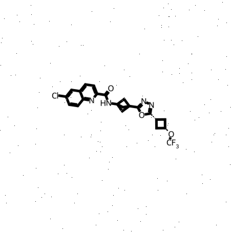 O=C(NC12CC(c3nnc([C@H]4C[C@@H](OC(F)(F)F)C4)o3)(C1)C2)c1ccc2cc(Cl)ccc2n1